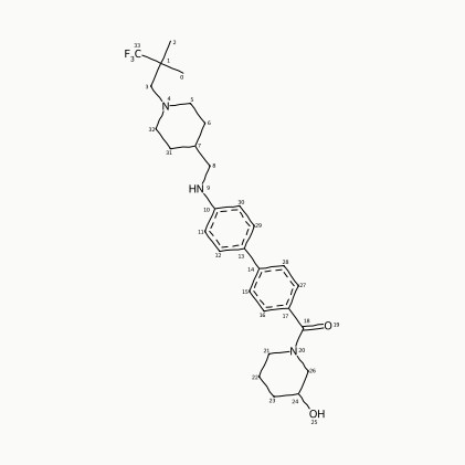 CC(C)(CN1CCC(CNc2ccc(-c3ccc(C(=O)N4CCCC(O)C4)cc3)cc2)CC1)C(F)(F)F